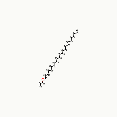 [CH2]CCCCCCCCCCCCCCCCCCCCCCCOCCC